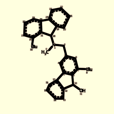 CN(Cc1cc2c(c(C(C)(C)C)c1)C(O)c1ccccc1-2)C1c2ccccc2-c2cccc(C(C)(C)C)c21